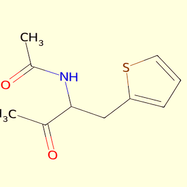 CC(=O)NC(Cc1cccs1)C(C)=O